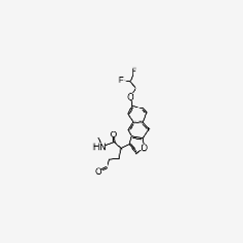 CNC(=O)C(CCC=O)c1coc2cc3ccc(OCC(F)F)cc3cc12